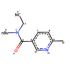 CCCCN(CC#N)C(=O)c1ccc(C)nc1